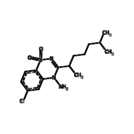 CC(C)CCCC(C)C1=NS(=O)(=O)c2ccc(Cl)cc2N1N